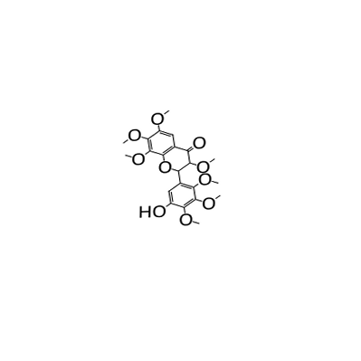 COc1cc2c(c(OC)c1OC)OC(c1cc(O)c(OC)c(OC)c1OC)C(OC)C2=O